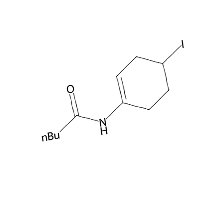 CCCCC(=O)NC1=CCC(I)CC1